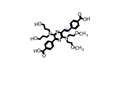 COCCN(CCOC)c1nc(-c2ccc(C(=O)O)cc2)c(N(CCCO)CCCO)nc1/C=C/c1ccc(C(=O)O)cc1